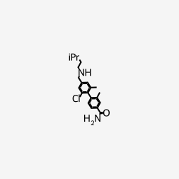 Cc1cc(C(N)=O)ccc1-c1c(C)cc(CNCCC(C)C)cc1Cl